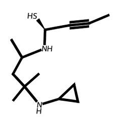 CC#C[C@H](S)NC(C)CC(C)(C)NC1CC1